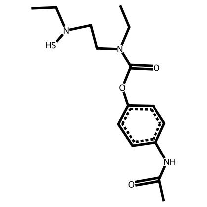 CCN(S)CCN(CC)C(=O)Oc1ccc(NC(C)=O)cc1